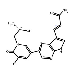 C[C@H](O)Cn1cc(-c2cnc3[nH]cc(/C=C/C(N)=O)c3n2)cc(F)c1=O